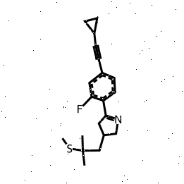 CSC(C)(C)CC1CN=C(c2ccc(C#CC3CC3)cc2F)C1